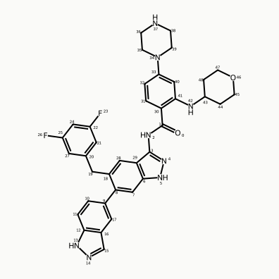 O=C(Nc1n[nH]c2cc(-c3ccc4[nH]ncc4c3)c(Cc3cc(F)cc(F)c3)cc12)c1ccc(N2CCNCC2)cc1NC1CCOCC1